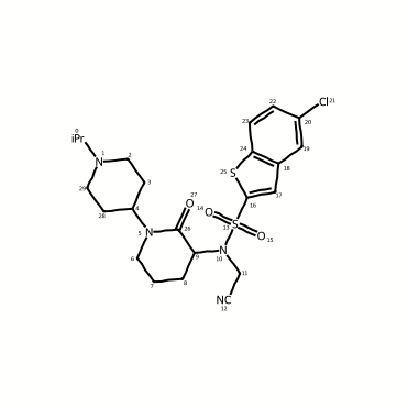 CC(C)N1CCC(N2CCCC(N(CC#N)S(=O)(=O)c3cc4cc(Cl)ccc4s3)C2=O)CC1